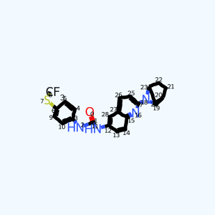 O=C(Nc1ccc(SC(F)(F)F)cc1)Nc1ccc2nc(N3CC4CCC3C4)ccc2c1